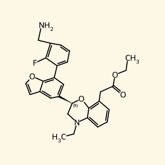 CCOC(=O)Cc1cccc2c1O[C@H](c1cc(-c3cccc(CN)c3F)c3occc3c1)CN2CC